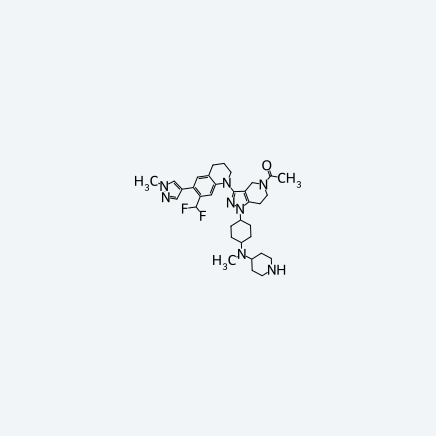 CC(=O)N1CCc2c(c(N3CCCc4cc(-c5cnn(C)c5)c(C(F)F)cc43)nn2C2CCC(N(C)C3CCNCC3)CC2)C1